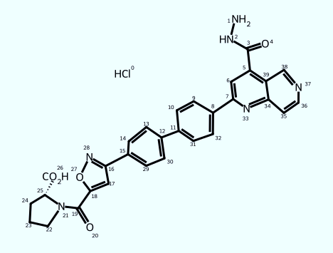 Cl.NNC(=O)c1cc(-c2ccc(-c3ccc(-c4cc(C(=O)N5CCC[C@@H]5C(=O)O)on4)cc3)cc2)nc2ccncc12